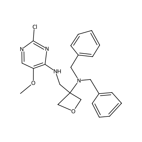 COc1cnc(Cl)nc1NCC1(N(Cc2ccccc2)Cc2ccccc2)COC1